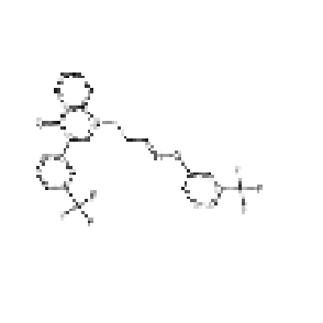 O=c1c(-c2cccc(C(F)(F)F)c2)c[n+](CCC=NOc2cccc(C(F)(F)F)c2)c2ccccn12